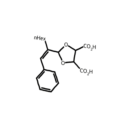 CCCCCCC(=Cc1ccccc1)C1OC(C(=O)O)C(C(=O)O)O1